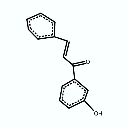 O=C(C=Cc1ccccc1)c1cccc(O)c1